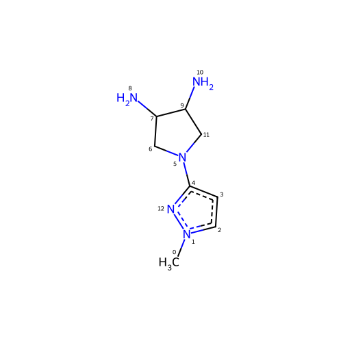 Cn1ccc(N2CC(N)C(N)C2)n1